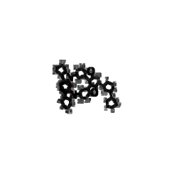 c1ccc(-c2cccc(-c3cc4oc5ccc(-n6c7ccccc7c7ccccc76)cc5c4c4c3oc3ccc(-n5c6ccccc6c6ccccc65)cc34)c2)cc1